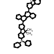 CC1(C)c2cc(-c3cc4c5ccccc5c(-c5ccc6oc7ccccc7c6c5)cc4c4ccccc34)ccc2-c2ccc(N(c3ccccc3)c3ccccc3)cc21